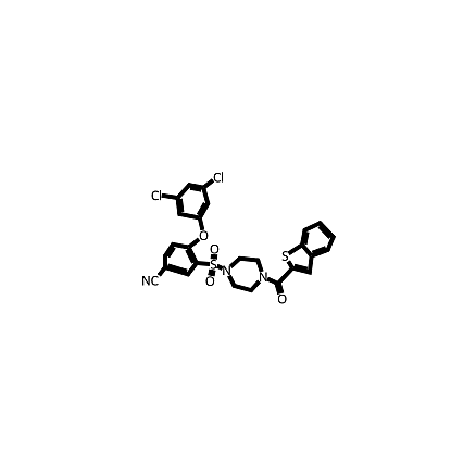 N#Cc1ccc(Oc2cc(Cl)cc(Cl)c2)c(S(=O)(=O)N2CCN(C(=O)c3cc4ccccc4s3)CC2)c1